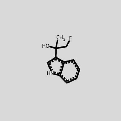 CC(O)(CF)c1c[nH]c2ccccc12